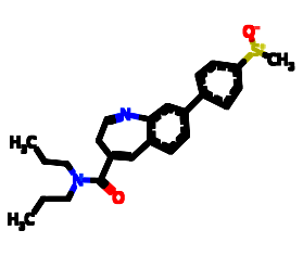 CCCN(CCC)C(=O)C1=Cc2ccc(-c3ccc([S+](C)[O-])cc3)cc2N=CC1